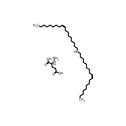 CCCCCCCC/C=C\CCCCCCCCNCCCCCCCC/C=C\CCCCCCCC.NNC(CCC(=O)O)C(=O)O